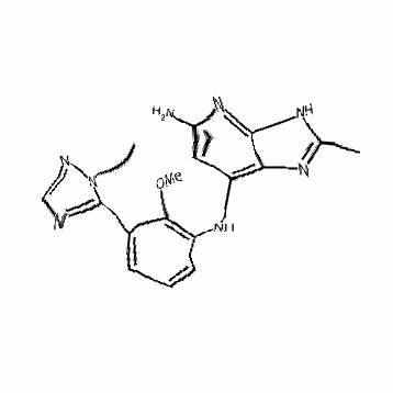 COc1c(Nc2cc(N)nc3[nH]c(C)nc23)cccc1-c1ncnn1C